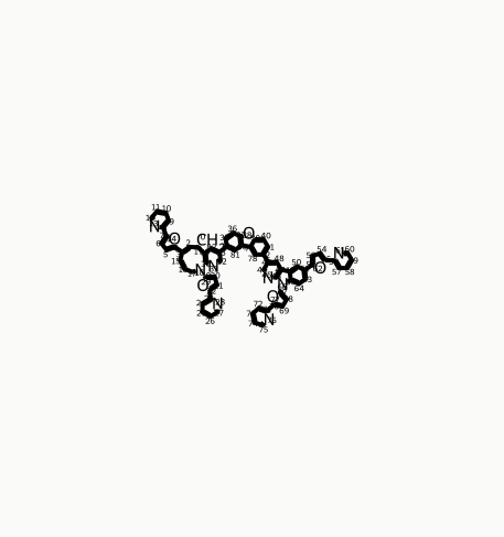 C=C1/C=C(c2ccc(-c3ccccn3)o2)\C=C/CN(c2ccc(-c3ccccn3)o2)c2ncc(-c3ccc4oc5ccc(-c6cnc7c(c6)c6cc(-c8ccc(-c9ccccn9)o8)ccc6n7-c6ccc(-c7ccccn7)o6)cc5c4c3)cc21